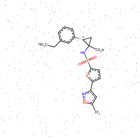 O=C(O)Cc1cccc([C@@H]2CC2(NS(=O)(=O)c2ccc(-c3cc(C(F)(F)F)on3)s2)C(=O)O)c1